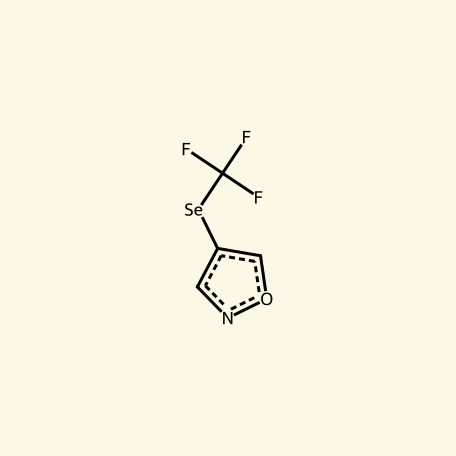 FC(F)(F)[Se]c1cnoc1